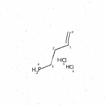 C=CCCP.Cl.Cl